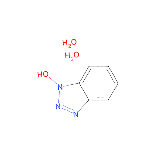 O.O.On1nnc2ccccc21